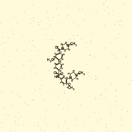 COc1ccc(NS(=O)(=O)c2ccc(-c3ccc(C(=O)N4CCN(C)CC4)cc3C)cc2)cc1N1CCN(C)CC1